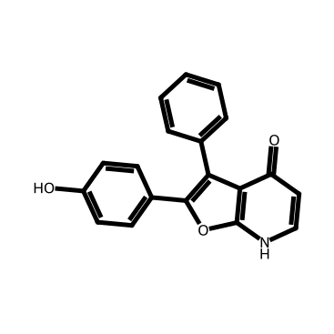 O=c1cc[nH]c2oc(-c3ccc(O)cc3)c(-c3ccccc3)c12